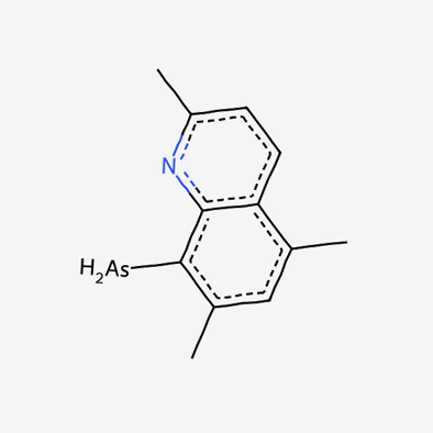 Cc1ccc2c(C)cc(C)c([AsH2])c2n1